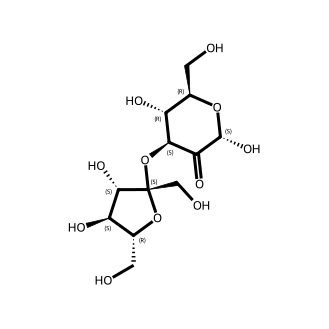 O=C1[C@@H](O[C@]2(CO)O[C@H](CO)[C@@H](O)[C@@H]2O)[C@H](O)[C@@H](CO)O[C@@H]1O